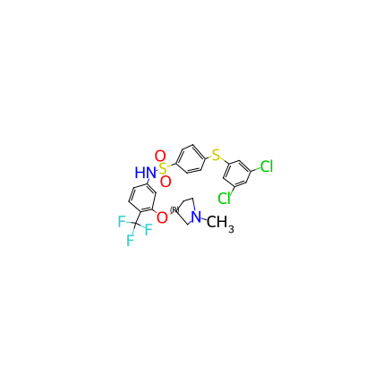 CN1CC[C@@H](Oc2cc(NS(=O)(=O)c3ccc(Sc4cc(Cl)cc(Cl)c4)cc3)ccc2C(F)(F)F)C1